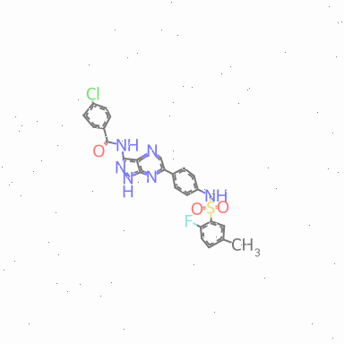 Cc1ccc(F)c(S(=O)(=O)Nc2ccc(-c3cnc4c(NC(=O)c5ccc(Cl)cc5)n[nH]c4n3)cc2)c1